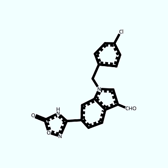 O=Cc1cn(Cc2ccc(Cl)cc2)c2cc(-c3noc(=O)[nH]3)ccc12